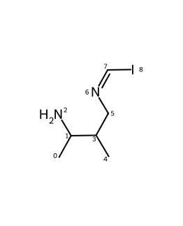 CC(N)C(C)C/N=C\I